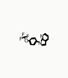 FC(F)(F)Oc1ccc(-n2ccc3cccnc32)cc1